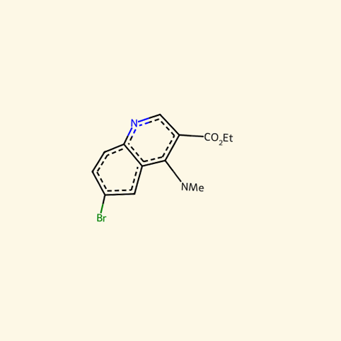 CCOC(=O)c1cnc2ccc(Br)cc2c1NC